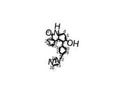 O=c1[nH]c2ccc(O)c(-c3ccc(Cn4ccnc4)cc3)c2c2ccsc12